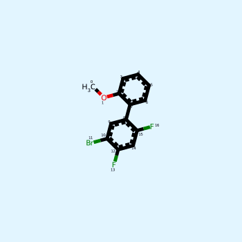 COc1ccccc1-c1cc(Br)c(F)cc1F